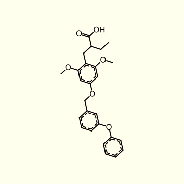 CCC(Cc1c(OC)cc(OCc2cccc(Oc3ccccc3)c2)cc1OC)C(=O)O